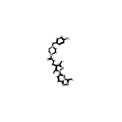 CC(=O)c1ccc(CN2CCN(C(=O)CCc3c(C)nn(-c4ccc5nnc(C)n5n4)c3C)CC2)cc1